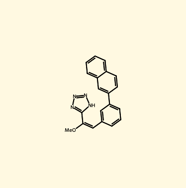 COC(=Cc1cccc(-c2ccc3ccccc3c2)c1)c1nnn[nH]1